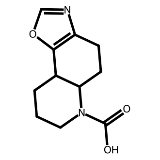 O=C(O)N1CCCC2c3ocnc3CCC21